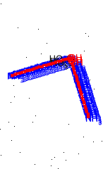 N.N.N.N.N.N.N.N.N.N.N.N.N.N.N.N.N.N.N.N.N.N.N.N.N.N.N.N.N.N.N.N.N.N.N.N.N.N.N.N.N.N.N.N.N.N.N.N.N.N.N.N.N.N.N.N.N.N.N.N.N.N.N.N.N.N.N.N.N.N.N.N.N.N.N.N.N.N.N.N.N.N.N.N.N.N.N.N.N.N.N.N.N.N.N.N.O=S(=O)(O)OO.O=S(=O)(O)OO.O=S(=O)(O)OO